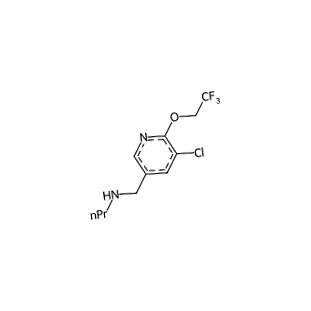 CCCNCc1cnc(OCC(F)(F)F)c(Cl)c1